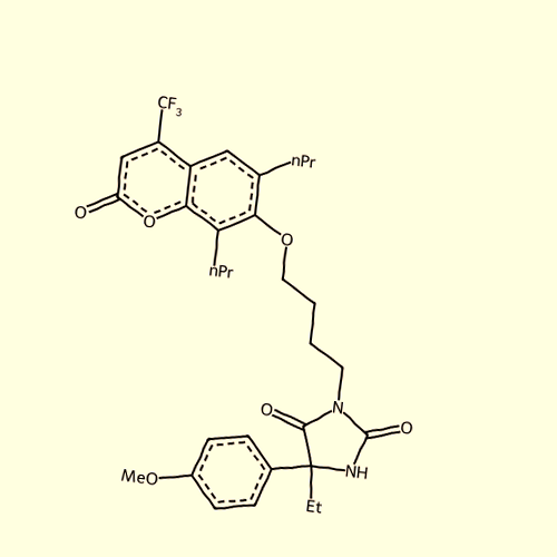 CCCc1cc2c(C(F)(F)F)cc(=O)oc2c(CCC)c1OCCCCN1C(=O)NC(CC)(c2ccc(OC)cc2)C1=O